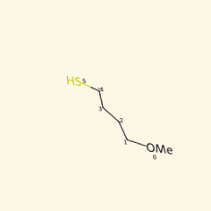 COCCC[CH]S